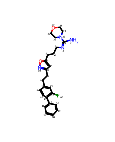 NC(=NCCCc1cc(CCc2ccc(-c3ccccc3)c(F)c2)no1)N1CCOCC1